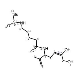 C=C(C)C(C/C=C(/O)CO)NC(=O)CCCCN[S+]([O-])C(C)(C)C